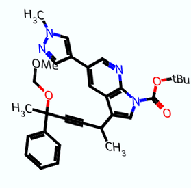 COCOC(C)(C#CC(C)c1cn(C(=O)OC(C)(C)C)c2ncc(-c3cnn(C)c3)cc12)c1ccccc1